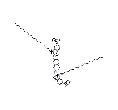 CCCCCCCCCCCCCCCCCCN1/C(=C/C2=CC3=C/C(=C/c4sc5ccc([S+](C)[O-])cc5[n+]4CCCCCCCCCCCCCCCCCC)CCC3CC2)Sc2ccc([S+](C)[O-])cc21